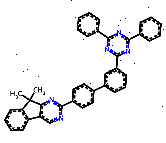 CC1(C)c2ccccc2-c2cnc(-c3ccc(-c4cccc(-c5nc(-c6ccccc6)nc(-c6ccccc6)n5)c4)cc3)nc21